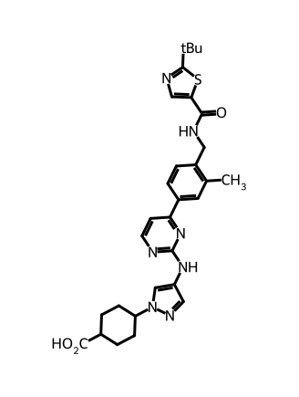 Cc1cc(-c2ccnc(Nc3cnn(C4CCC(C(=O)O)CC4)c3)n2)ccc1CNC(=O)c1cnc(C(C)(C)C)s1